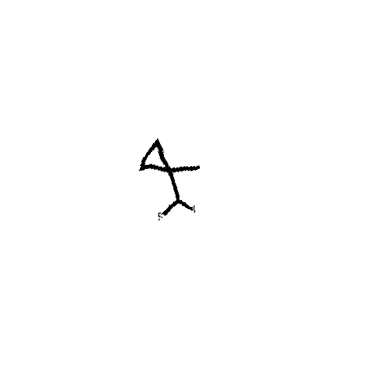 CC1(C(F)I)CC1